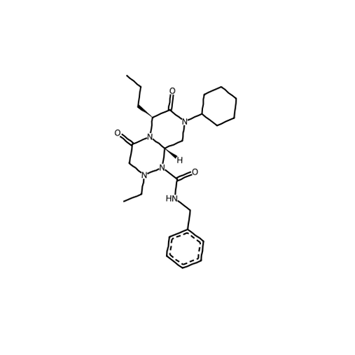 CCC[C@H]1C(=O)N(C2CCCCC2)C[C@H]2N1C(=O)CN(CC)N2C(=O)NCc1ccccc1